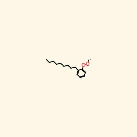 [CH2]OOc1ccccc1CCCCCCCCC